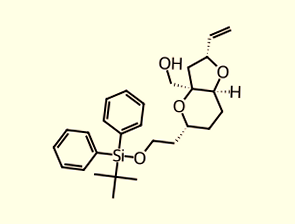 C=C[C@H]1C[C@]2(CO)O[C@@H](CCO[Si](c3ccccc3)(c3ccccc3)C(C)(C)C)CC[C@@H]2O1